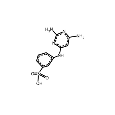 Nc1cc(Nc2cccc(S(=O)(=O)O)c2)nc(N)n1